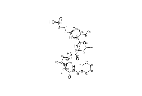 CCC[C@H](NC(=O)[C@@H](NC(=O)CCCC(=O)O)[C@@H](C)CC)C(=O)N[C@H]1CC(C)N([C@@H](C)C(=O)NCC2CCCCC2)C1